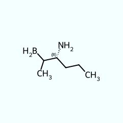 BC(C)[C@H](N)CCC